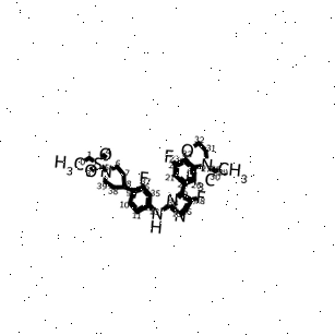 CCS(=O)(=O)N1CCC(c2ccc(Nc3ncc(F)c(-c4cc(F)c5c(c4)N(C(C)C)CCO5)n3)cc2F)CC1